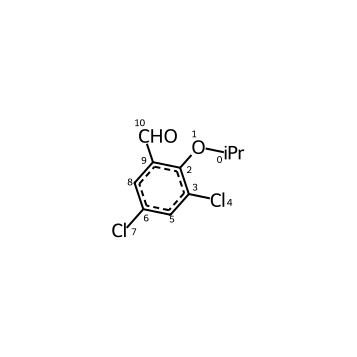 CC(C)Oc1c(Cl)cc(Cl)cc1C=O